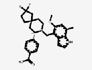 COc1cc(C)c2[nH]ccc2c1CN1CCC2(CCC(F)(F)C2)C[C@H]1c1ccc(C(=O)O)cc1